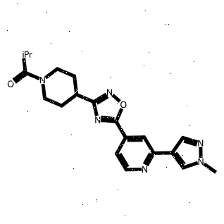 CC(C)C(=O)N1CCC(c2noc(-c3ccnc(-c4cnn(C)c4)c3)n2)CC1